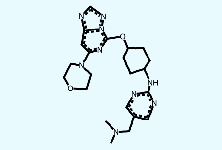 CN(C)Cc1cnc(NC2CCC(Oc3nc(N4CCOCC4)cc4ncnn34)CC2)nc1